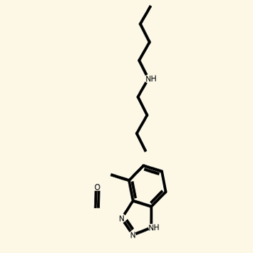 C=O.CCCCNCCCC.Cc1cccc2[nH]nnc12